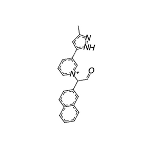 Cc1cc(-c2ccc[n+](C(C=O)c3ccc4ccccc4c3)c2)[nH]n1